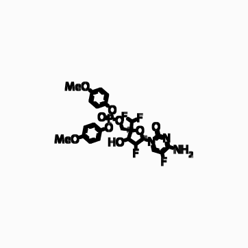 COc1ccc(OP(=O)(OC[C@@]2(C(F)F)O[C@@H](n3cc(F)c(N)nc3=O)C(F)C2O)Oc2ccc(OC)cc2)cc1